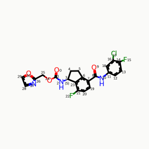 O=C(N[C@H]1CCc2c(C(=O)Nc3ccc(F)c(Cl)c3)ccc(F)c21)OCc1ncco1